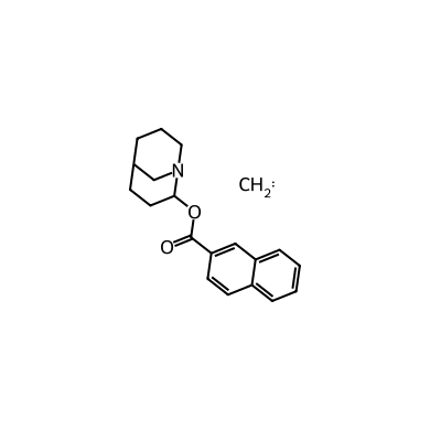 O=C(OC1CCC2CCCN1C2)c1ccc2ccccc2c1.[CH2]